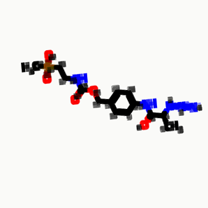 C[C@H](N=[N+]=[N-])C(=O)Nc1ccc(COC(=O)NCCS(C)(=O)=O)cc1